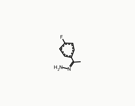 C/C(=N/N)c1ccc(F)cc1